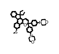 CCC1(CC)c2ccccc2-c2c1c1c(c3cc(SC)ccc23)OC(c2ccc(N3CCOCC3)cc2)(c2ccc(N3CCOCC3)cc2)C=C1